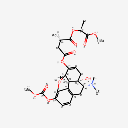 CCCCOC(=O)[C@H](C)OC(=O)[C@H](CC(=O)OC1=CC[C@@]2(O)[C@H](N(C)CC)Cc3ccc(OC(=O)OC(C)(C)C)c4c3[C@@]2(C)[C@H]1O4)OC(C)=O